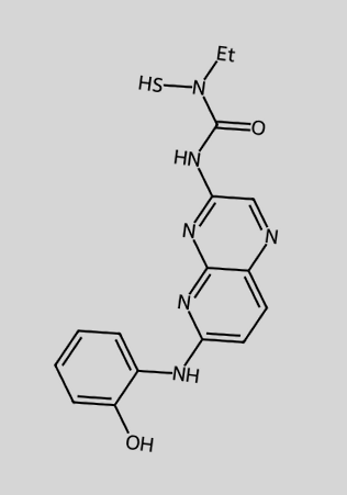 CCN(S)C(=O)Nc1cnc2ccc(Nc3ccccc3O)nc2n1